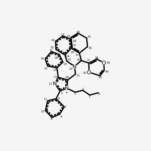 CCCCn1c(-c2ccccc2)nc(-c2ccccc2)c1CN(Cc1ccccc1)C(C1=CC=CCC1)C1=COC=CO1